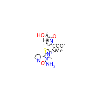 CSc1c(C2=C(C(=O)[O-])N3C(=O)[C@H]([C@@H](C)O)[C@H]3[C@H]2C)sc2c(-c3ccccn3)n(C(N)=O)c(C)[n+]12